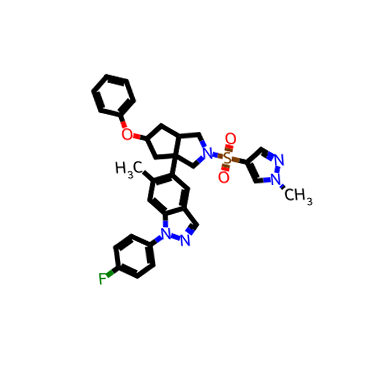 Cc1cc2c(cnn2-c2ccc(F)cc2)cc1C12CC(Oc3ccccc3)CC1CN(S(=O)(=O)c1cnn(C)c1)C2